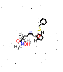 CN(O)C(=O)C(C)(C)CC/C=C\C[C@@H]1[C@H](CSCc2ccccc2)[C@@H]2CC[C@H]1O2